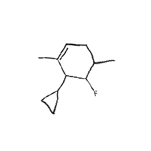 CC1=CCC(C)C(F)C1C1CC1